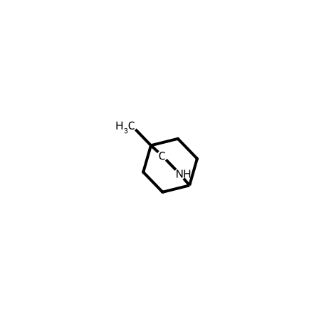 CC12CCC(CC1)NC2